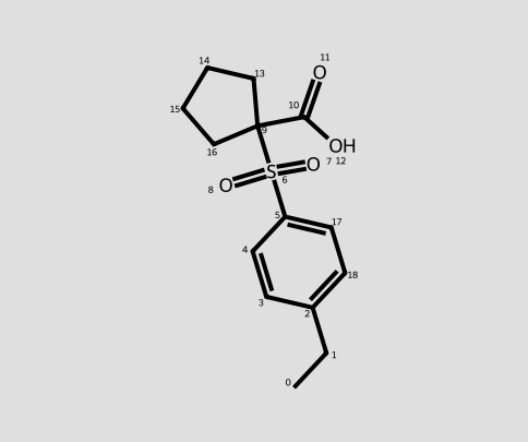 CCc1ccc(S(=O)(=O)C2(C(=O)O)CCCC2)cc1